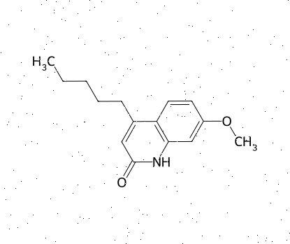 CCCCCc1cc(=O)[nH]c2cc(OC)ccc12